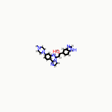 CN1CCN(c2ccc3c(c2)N=C(C=C(O)c2ccc4[nH]cnc4c2)N2CCN=C32)CC1